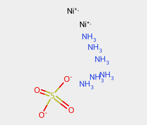 N.N.N.N.N.N.O=S(=O)([O-])[O-].[Ni+].[Ni+]